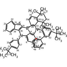 Cc1cc2c3c(c1)N(c1ccc(C(C)(C)C)cc1)c1c(sc4ccccc14)B3c1ccc3c(c1N2c1ccc(C(C)(C)C)cc1-c1ccccc1)C(C)(C)CCC3(C)C